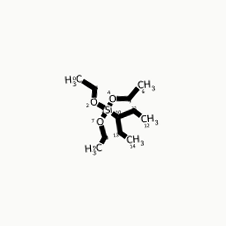 CCO[Si](OCC)(OCC)C(CC)CC